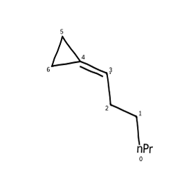 CCCCC[C]=C1CC1